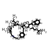 CC(C)C[C@@H]1NC(=O)[C@@H]([SiH3])C/C=C\COc2ccc(cc2)C[C@@H](C(=O)N[C@@H](CCCNC(=N)N)C(=O)c2nc3ccccc3s2)NC1=O